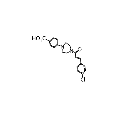 O=C(O)c1ccc(N2CCN(C(=O)/C=C/c3ccc(Cl)cc3)CC2)cc1